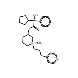 C[N+]1(CCCc2ccncc2)CCC[C@@H](OC(=O)C(O)(c2ccccc2)C2CCCC2)C1